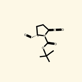 CC(C)(C)OC(=O)N1C(=C=O)CC[C@H]1C=O